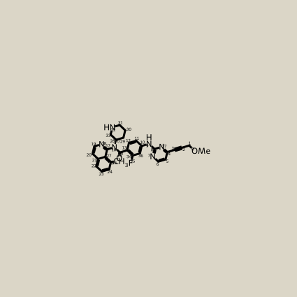 COCC#Cc1ccnc(Nc2ccc(C(=O)N(c3nccc4cccc(C)c34)[C@@H]3CCCNC3)c(F)c2)n1